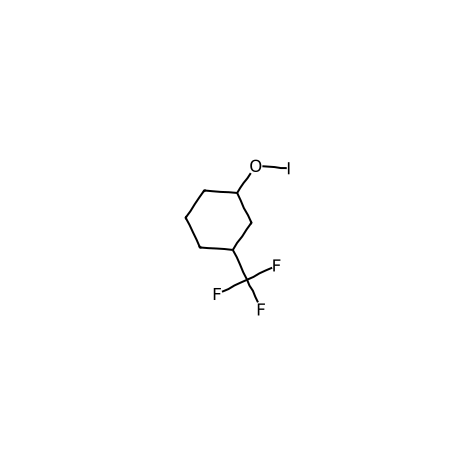 FC(F)(F)C1CCCC(OI)C1